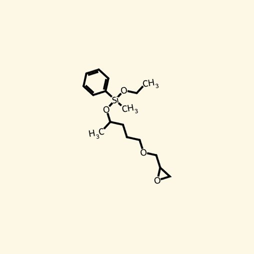 CCO[Si](C)(OC(C)CCCOCC1CO1)c1ccccc1